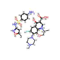 C[C@H]1COc2c(N3CCN(C)CC3)c(F)cc3c(=O)c(C(=O)O)cn1c23.Cc1cc(NS(=O)(=O)c2ccc(N)cc2)no1